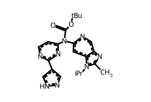 Cc1nc2cnc(N(C(=O)OC(C)(C)C)c3ccnc(-c4cn[nH]c4)n3)cc2n1C(C)C